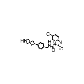 CCC1N=C2C=CC(Cl)=CN2[C@H]1C(=O)NCc1ccc(C2CC3(CNC3)C2)cc1